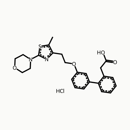 Cc1sc(N2CCOCC2)nc1CCOc1cccc(-c2ccccc2CC(=O)O)c1.Cl